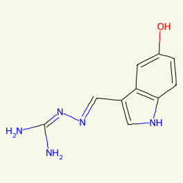 NC(N)=NN=Cc1c[nH]c2ccc(O)cc12